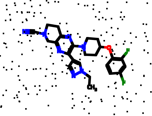 CCn1cc(-c2nc3c(nc2N2CCC(Oc4ccc(F)cc4F)CC2)CCN(C#N)C3)cn1